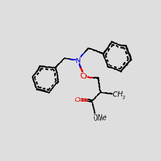 COC(=O)C(C)CON(Cc1ccccc1)Cc1ccccc1